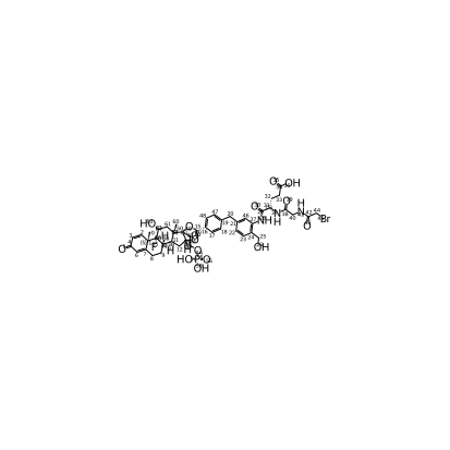 C[C@]12C=CC(=O)C=C1CC[C@H]1[C@@H]3C[C@H]4O[C@@H](c5ccc(Cc6ccc(CO)c(NC(=O)[C@H](CCC(=O)O)NC(=O)CNC(=O)CBr)c6)cc5)O[C@@]4(C(=O)COP(=O)(O)O)[C@@]3(C)C[C@H](O)[C@@]12F